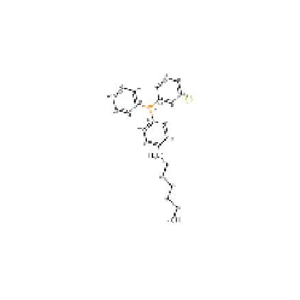 CCCCCCC.S.c1ccc(P(c2ccccc2)c2ccccc2)cc1